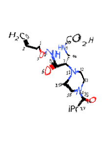 C=CCONC(=O)[C@H](CNC(=O)O)N1CCN(C(=O)C(C)C)CC1